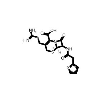 N=C(N)SCC1=C(C(=O)O)N2C(=O)C(NC(=O)Cc3cccs3)[C@H]2SC1